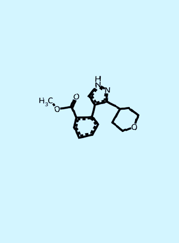 COC(=O)c1ccccc1-c1c[nH]nc1C1CCOCC1